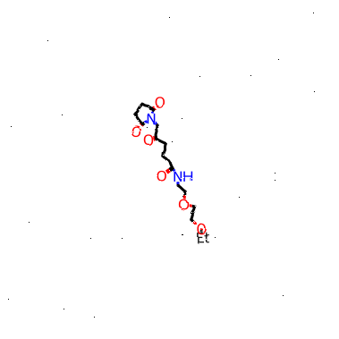 CCOCCOCCNC(=O)CCCC(=O)CN1C(=O)CCC1=O